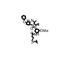 C/N=C1\C(=C(/C)N)N(c2ccc(Oc3ccccc3)cc2)C(=O)N1c1cc(NC(=O)/C=C/CN(C)C2CC2)cc(OC)c1